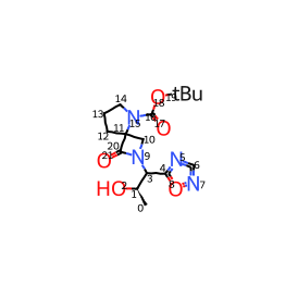 C[C@@H](O)C(c1ncno1)N1CC2(CCCN2C(=O)OC(C)(C)C)C1=O